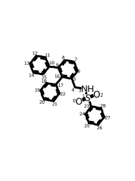 O=S(=O)(NCc1cccc(-c2ccccc2)c1-c1ccccc1)c1ccccc1